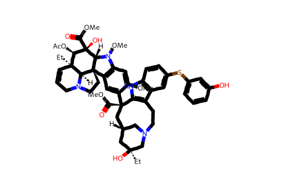 CC[C@]1(O)C[C@H]2CN(CCc3c([nH]c4ccc(Sc5cccc(O)c5)cc34)[C@@](C(=O)OC)(c3cc4c(cc3OC)N(OC)[C@H]3[C@@](O)(C(=O)OC)[C@H](OC(C)=O)[C@]5(CC)C=CCN6CC[C@]43[C@@H]65)C2)C1